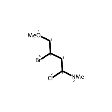 CNC(Cl)CC(Br)COC